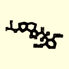 COc1cccc(OC)c1S(=O)(=O)Nc1noc2c1CCc1ccc(OC(F)F)cc1-2